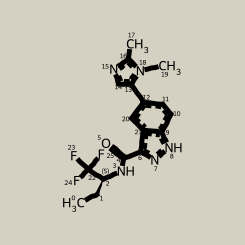 CC[C@H](NC(=O)c1n[nH]c2ccc(-c3cnc(C)n3C)cc12)C(F)(F)F